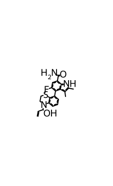 C=CC(O)N1CCSc2c(-c3c(F)cc(C(N)=O)c4[nH]c(C)c(C)c34)cccc21